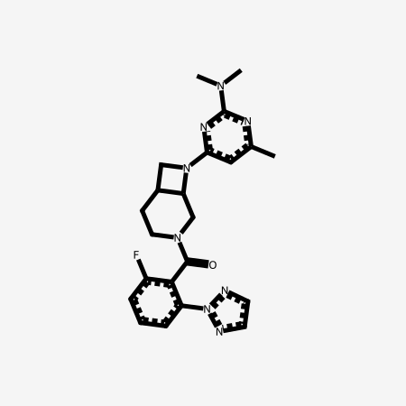 Cc1cc(N2CC3CCN(C(=O)c4c(F)cccc4-n4nccn4)CC32)nc(N(C)C)n1